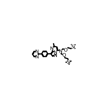 Cc1cc(N(COCC[Si](C)(C)C)COCC[Si](C)(C)C)n2ncc(-c3ccc(-c4ncccn4)cc3)c2n1